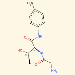 C[C@@H](O)[C@H](NC(=O)CN)C(=O)Nc1ccc([N+](=O)[O-])cc1